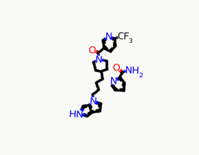 NC(=O)c1ccccn1.O=C(c1ccc(C(F)(F)F)nc1)N1CCC(CCCCn2ccc3c[nH]cc32)CC1